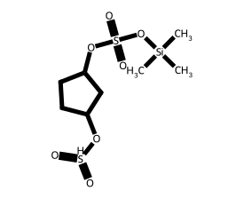 C[Si](C)(C)OS(=O)(=O)OC1CCC(O[SH](=O)=O)C1